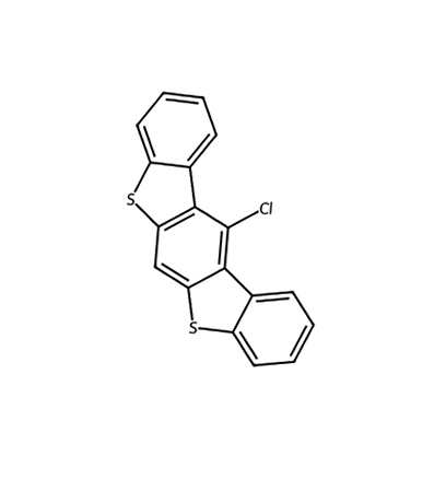 Clc1c2c(cc3sc4ccccc4c13)sc1ccccc12